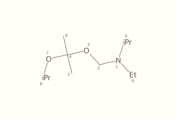 CCN(COC(C)(C)OC(C)C)C(C)C